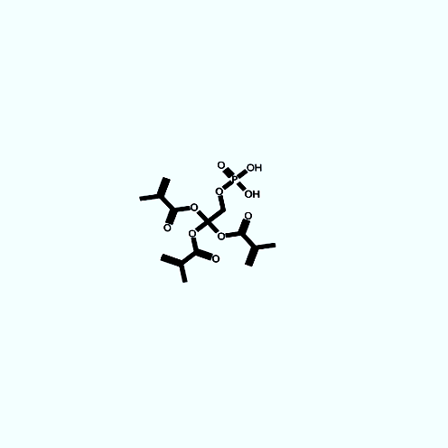 C=C(C)C(=O)OC(COP(=O)(O)O)(OC(=O)C(=C)C)OC(=O)C(=C)C